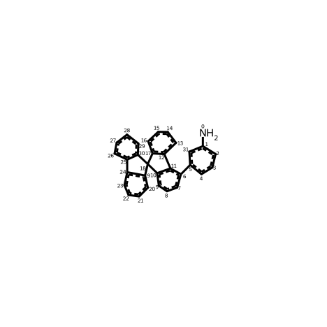 Nc1cccc(-c2cccc3c2-c2ccccc2C32c3ccccc3-c3ccccc32)c1